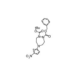 CC(C)(C)OC(=O)N1CCN(c2ccc([N+](=O)[O-])s2)CCN1C(=O)OCc1ccccc1